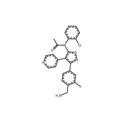 CC(=O)N(c1ccccc1Cl)c1onc(-c2ccc(CN)c(F)c2)c1-c1ccncc1